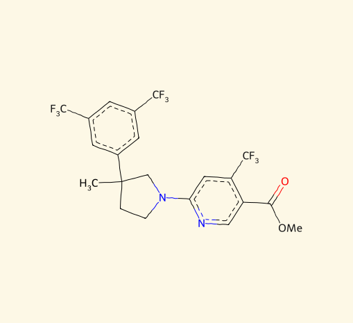 COC(=O)c1cnc(N2CCC(C)(c3cc(C(F)(F)F)cc(C(F)(F)F)c3)C2)cc1C(F)(F)F